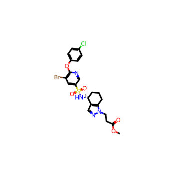 COC(=O)CCn1ncc2c1CCC[C@H]2NS(=O)(=O)c1cnc(Oc2ccc(Cl)cc2)c(Br)c1